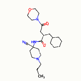 CCCN1CCC(C#N)(NC(=O)C(CC(=O)N2CCOCC2)CC2CCCCC2)CC1